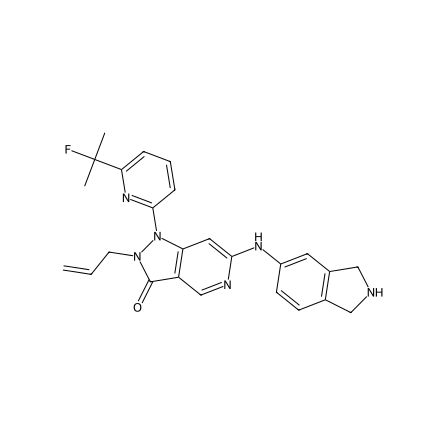 C=CCn1c(=O)c2cnc(Nc3ccc4c(c3)CNC4)cc2n1-c1cccc(C(C)(C)F)n1